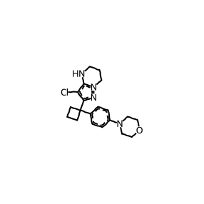 Clc1c(C2(c3ccc(N4CCOCC4)cc3)CCC2)nn2c1NCCC2